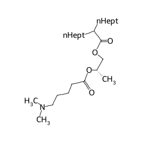 CCCCCCCC(CCCCCCC)C(=O)OC[C@H](C)OC(=O)CCCCN(C)C